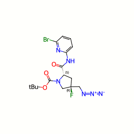 CC(C)(C)OC(=O)N1C[C@@](F)(CN=[N+]=[N-])C[C@H]1C(=O)Nc1cccc(Br)n1